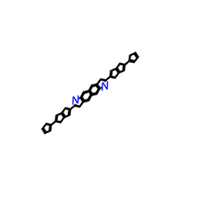 C1=CCC(C2=CC3=C(C=C(C4=Nc5cc6cc7c(cc6cc5C4)N=C(C4=CC5=C(C=C(C6=CC=CC6)C5)C4)C7)C3)C2)=C1